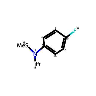 CSN(c1ccc(F)cc1)C(C)C